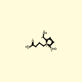 NC(=O)CCCn1c(C=O)ccc1CO